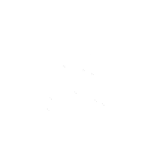 C[C@@H]1C[C@H](O)CCN1c1cc(-c2c(F)cnn2C)nc2c(-c3ccn[nH]3)nn(CC(F)F)c12